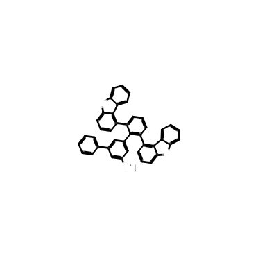 N#Cc1cc(-c2ccccc2)cc(-c2c(-c3cccc4oc5ccccc5c34)cccc2-c2cccc3oc4ccccc4c23)c1